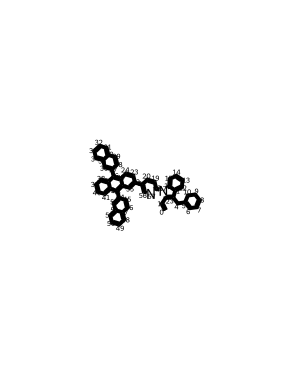 C=Cc1c(CC2=CC=CCC2)c2ccccc2n1-c1ccc(-c2ccc3c(-c4ccc5ccccc5c4)c4ccccc4c(-c4ccc5ccccc5c4)c3c2)cn1